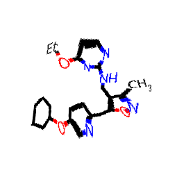 CCOc1ccnc(NCc2c(C)noc2-c2ccc(OC3CCCCC3)cn2)n1